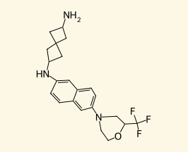 NC1CC2(C1)CC(Nc1ccc3cc(N4CCOC(C(F)(F)F)C4)ccc3c1)C2